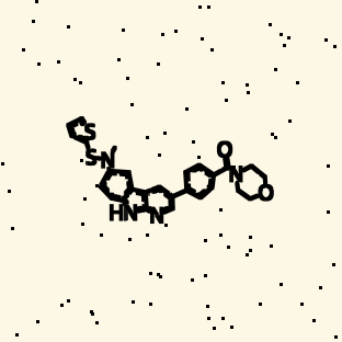 CN(Sc1cccs1)c1ccc2[nH]c3ncc(-c4ccc(C(=O)N5CCOCC5)cc4)cc3c2c1